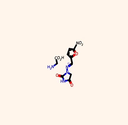 NCC(=O)O.O=C1CN(/N=C/c2ccc([N+](=O)[O-])o2)C(=O)N1